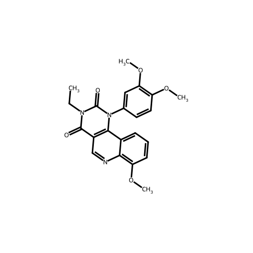 CCn1c(=O)c2cnc3c(OC)cccc3c2n(-c2ccc(OC)c(OC)c2)c1=O